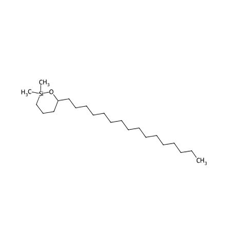 CCCCCCCCCCCCCCCCC1CCC[Si](C)(C)O1